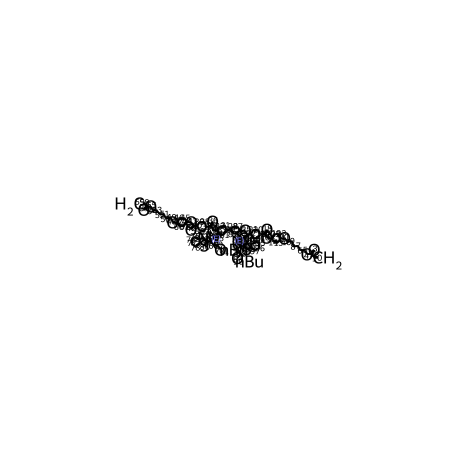 C=CC(=O)OCCCCCCOc1ccc(OC(=O)C2CCC(C(=O)Oc3ccc(-c4ccc(OC(=O)C5CCC(C(=O)Oc6ccc(OCCCCCCOC(=O)C=C)cc6)CC5)c(/C=N/N(CCOCCCC)c5nc6ccccc6s5)c4)cc3/C=N/N(CCOCCCC)c3nc4ccccc4s3)CC2)cc1